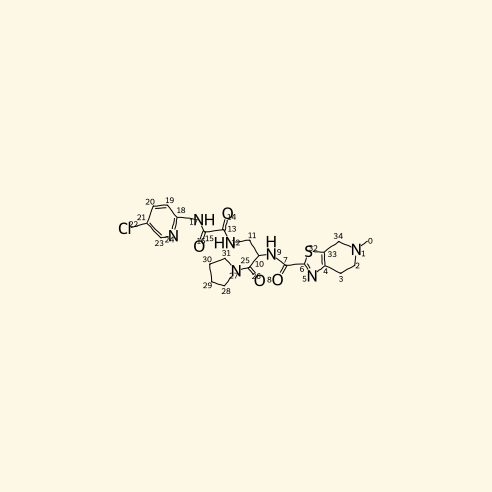 CN1CCc2nc(C(=O)NC(CNC(=O)C(=O)Nc3ccc(Cl)cn3)C(=O)N3CCCC3)sc2C1